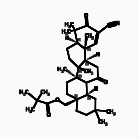 CC1(C)CC[C@]2(COC(=O)C(C)(C)C)CC[C@]3(C)C(C(=O)C[C@@H]4[C@@]5(C)C=C(C#N)C(=O)C(C)(C)[C@@H]5CC[C@]43C)[C@H]2C1